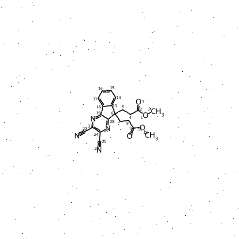 COC(=O)CCC1(CCC(=O)OC)c2ccccc2-c2nc(C#N)c(C#N)nc21